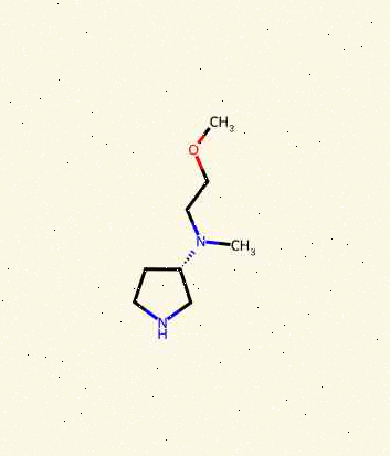 COCCN(C)[C@H]1CCNC1